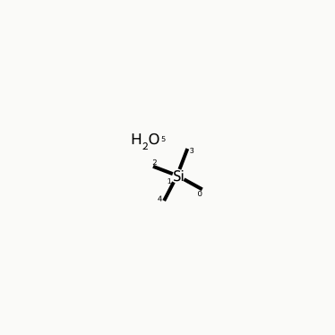 C[Si](C)(C)C.O